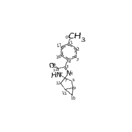 Cc1ccc(C2=NC3(CC4CC4C3)NC2=O)cc1